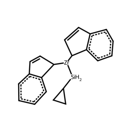 C1=C[CH]([Zr]([SiH2]C2CC2)[CH]2C=Cc3ccccc32)c2ccccc21